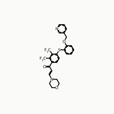 O=C(C=CN1CCOCC1)c1ccc(Sc2ccccc2OCc2cccnc2)c(C(F)(F)F)c1C(F)(F)F